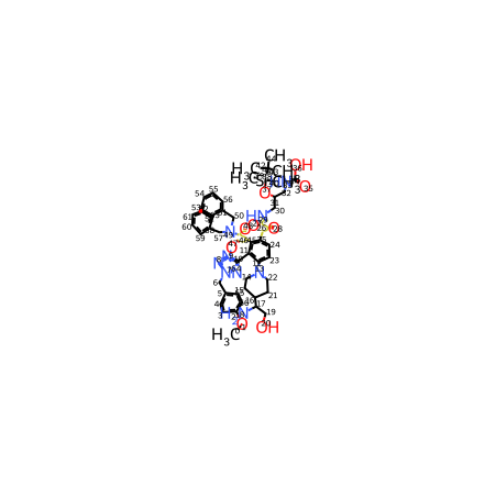 COc1ccc(Cn2nnc(-c3c(N4CCC(C(N)CO)CC4)ccc(S(=O)(=O)NCC(CNC(=O)O)O[Si](C)(C)C(C)(C)C)c3S(=O)(=O)N(Cc3ccccc3)Cc3ccccc3)n2)cc1